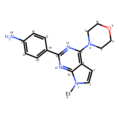 CCn1ccc2c(N3CCOCC3)nc(-c3ccc(N)cc3)nc21